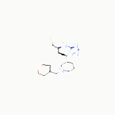 C[C@@H]1CCN(CC2CCOCC2)C[C@H]1c1cc(C(F)F)nc2ncnn12